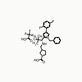 CC(C)(C)[C@@H](NCC1CCN(C(=O)O)C1)c1cc(-c2cc(F)ccc2F)cn1Cc1ccccc1.O=C(O)C(F)(F)F